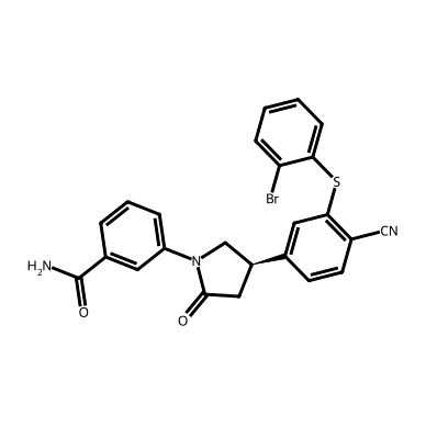 N#Cc1ccc([C@H]2CC(=O)N(c3cccc(C(N)=O)c3)C2)cc1Sc1ccccc1Br